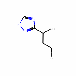 CCCCCCC[CH]([InH2])c1nc[nH]n1